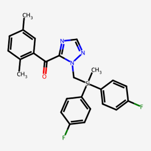 Cc1ccc(C)c(C(=O)c2ncnn2C[Si](C)(c2ccc(F)cc2)c2ccc(F)cc2)c1